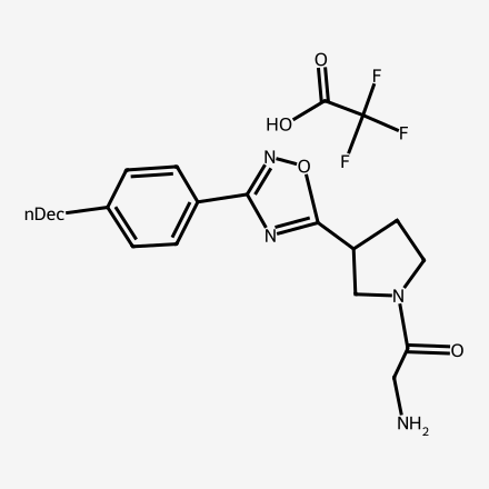 CCCCCCCCCCc1ccc(-c2noc(C3CCN(C(=O)CN)C3)n2)cc1.O=C(O)C(F)(F)F